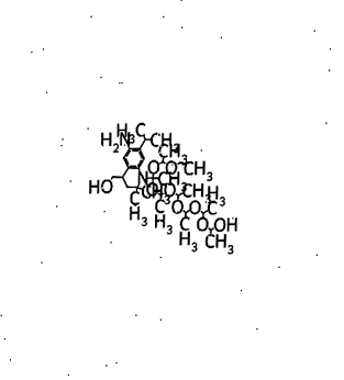 CCOC(C)OC(C)(OC(C)OC(C)OC(C)OC(C)OC(C)O)N1c2cc(C(C)C)c(N)cc2C(CO)CC1(C)C